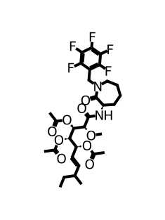 CCC(C)C=C[C@@H](OC(C)=O)[C@H](OC(C)=O)[C@@H](OC(C)=O)[C@@H](OC)C(=O)N[C@H]1CCCCN(Cc2c(F)c(F)c(F)c(F)c2F)C1=O